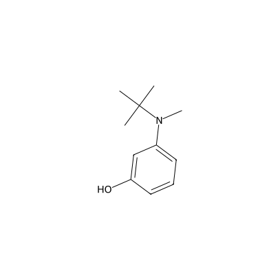 CN(c1cccc(O)c1)C(C)(C)C